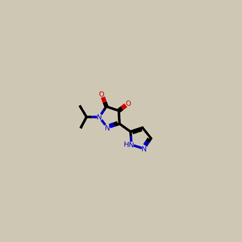 CC(C)N1N=C(c2ccn[nH]2)C(=O)C1=O